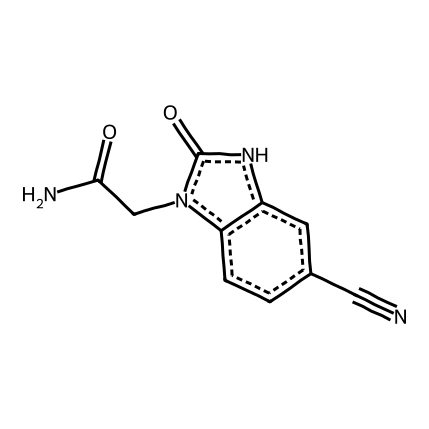 N#Cc1ccc2c(c1)[nH]c(=O)n2CC(N)=O